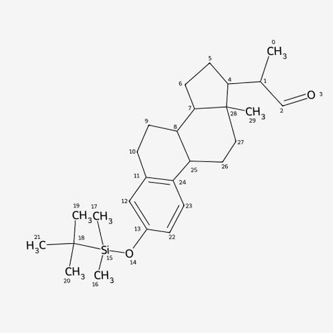 CC(C=O)C1CCC2C3CCc4cc(O[Si](C)(C)C(C)(C)C)ccc4C3CCC12C